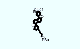 CCCCCCCCOc1ccc2oc3ccc4c(ccc5oc6ccc(CCCCOCCCC)cc6c54)c3c2c1